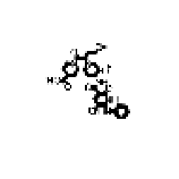 COCCC(C(=O)N1CCC(C(=O)O)CC1)N1CC[C@@H](NC(=O)c2cc(Cl)c(Nc3ccccc3)[nH]c2=O)[C@@H](OC)C1